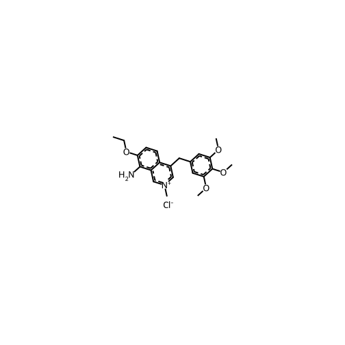 CCOc1ccc2c(Cc3cc(OC)c(OC)c(OC)c3)c[n+](C)cc2c1N.[Cl-]